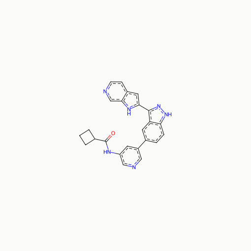 O=C(Nc1cncc(-c2ccc3[nH]nc(-c4cc5ccncc5[nH]4)c3c2)c1)C1CCC1